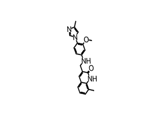 COc1cc(NCc2cc3cccc(C)c3[nH]c2=O)ccc1-n1cnc(C)c1